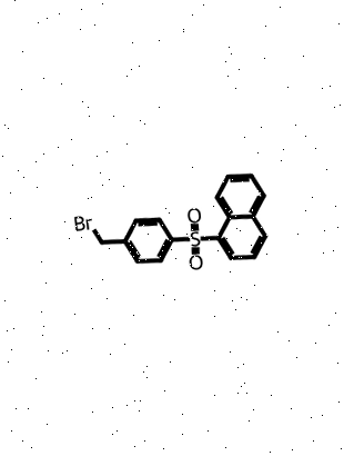 O=S(=O)(c1ccc(CBr)cc1)c1cccc2ccccc12